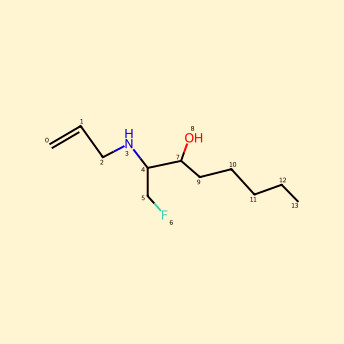 C=CCNC(CF)C(O)CCCCC